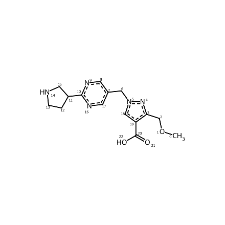 COCc1nn(Cc2cnc(C3CCNC3)nc2)cc1C(=O)O